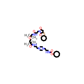 CC(C)(CNC(=O)CCN1C(=O)CC(SC2CCCCCCC2)C1=O)OCCC(C)(C)C(=O)NCCCN1CCN(CCCNC(=O)OC2CCCCCCCC2)CC1